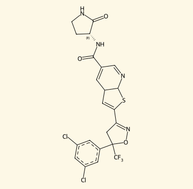 O=C(N[C@@H]1CCNC1=O)C1=CC2C=C(C3=NOC(c4cc(Cl)cc(Cl)c4)(C(F)(F)F)C3)SC2N=C1